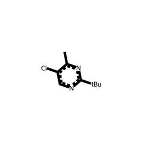 Cc1nc(C(C)(C)C)ncc1Cl